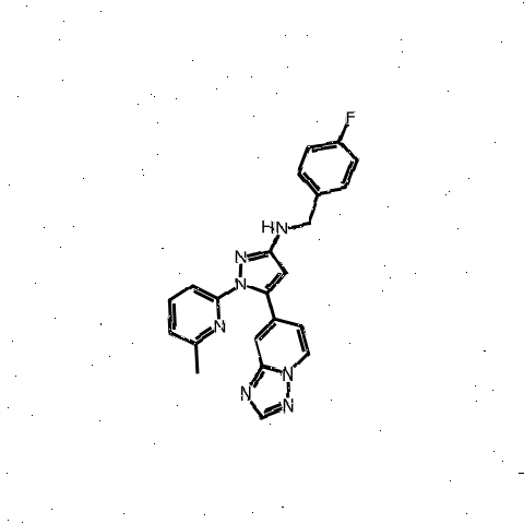 Cc1cccc(-n2nc(NCc3ccc(F)cc3)cc2-c2ccn3ncnc3c2)n1